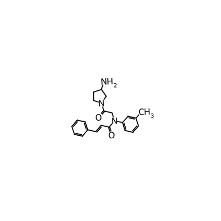 Cc1cccc(N(CC(=O)N2CCC(N)C2)C(=O)/C=C/c2ccccc2)c1